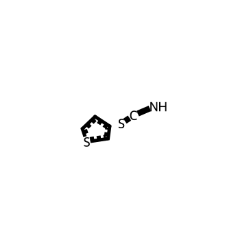 N=C=S.c1ccsc1